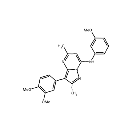 COc1cccc(Nc2cc(C)nc3c(-c4ccc(OC)c(OC)c4)c(C)nn23)c1